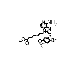 CCOC(=O)CCCCCCn1c(Sc2cc3c(cc2Br)OCO3)nc2c(N)nccc21